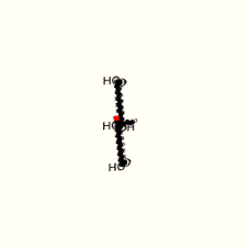 CCCCC(CC)(CCCCCCCCCCCCC(=O)O)C(O)(O)CCCCCCCCCCCC(=O)O